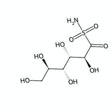 NS(=O)(=O)C(=O)[C@@H](O)[C@@H](O)[C@H](O)[C@H](O)CO